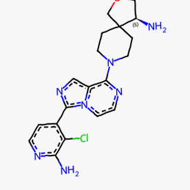 C[C@@H]1OCC2(CCN(c3nccn4c(-c5ccnc(N)c5Cl)ncc34)CC2)[C@@H]1N